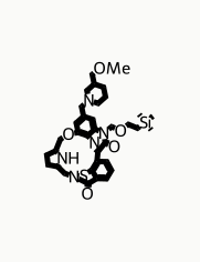 COCC1CCCN(Cc2cc3c4nc(c(=O)n(COCC[Si](C)(C)C)c4c2)-c2cccc4c(=O)n(sc24)CC2CCC(CO3)N2)C1